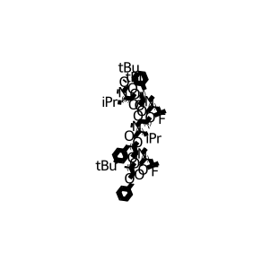 CC(C)C[C@@H](C(=O)O[C@H](Cc1ccc(C(C)(C)C)cc1)C(=O)N(C)[C@@H](CC(C)(C)F)C(=O)O[C@H](C)C(=O)N(C)[C@@H](CC(C)C)C(=O)O[C@H](Cc1ccc(C(C)(C)C)cc1)C(=O)N(C)[C@@H](CC(C)(C)F)C(=O)O[C@H](C)C(=O)OCc1ccccc1)N(C)C(=O)OC(C)(C)C